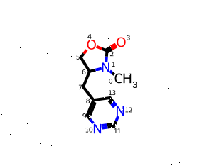 CN1C(=O)OCC1Cc1cncnc1